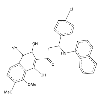 CCCN1c2ccc(OC)c(OC)c2C(O)=C(C(=O)CC(Nc2cccc3ccccc23)c2ccc(Cl)cc2)C1O